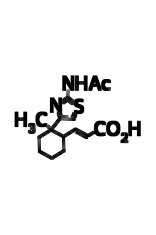 CC(=O)Nc1nc(C2(C)CCCCC2/C=C/C(=O)O)cs1